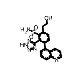 NS(=O)(=O)c1c(CCO)ccc(-c2cccc3ncccc23)c1-c1nn[nH]n1